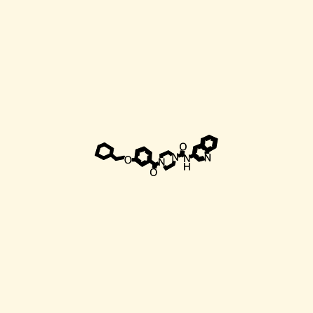 O=C(Nc1cnc2ccccc2c1)N1CCN(C(=O)c2cccc(OCCC3CCCCC3)c2)CC1